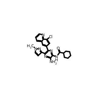 Cn1ccc(-c2nc(N)c(NC(=O)C3CCCCC3)nc2-c2cc(Cl)c3ncccc3c2)n1